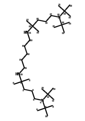 CC(C)(CCCN(C(C)(C)C)C(C)(C)C)NCCCCCNC(C)(C)CCCN(C(C)(C)C)C(C)(C)C